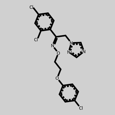 Clc1ccc(OCCON=C(Cn2cncn2)c2ccc(Cl)cc2Cl)cc1